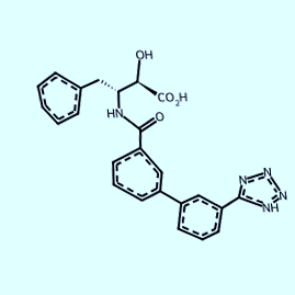 O=C(N[C@H](Cc1ccccc1)[C@@H](O)C(=O)O)c1cccc(-c2cccc(-c3nnn[nH]3)c2)c1